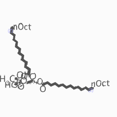 CCCCCCCC/C=C\CCCCCCCCCCCC(=O)OC[C@H](COP(=O)(O)C(C)O)OC(=O)CCCCCCCCCCC/C=C\CCCCCCCC